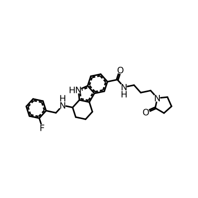 O=C(NCCCN1CCCC1=O)c1ccc2[nH]c3c(c2c1)CCCC3NCc1ccccc1F